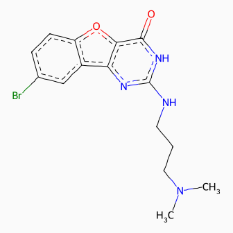 CN(C)CCCNc1nc2c(oc3ccc(Br)cc32)c(=O)[nH]1